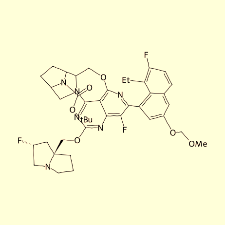 CCc1c(F)ccc2cc(OCOC)cc(-c3nc4c5c(nc(OC[C@@]67CCCN6C[C@H](F)C7)nc5c3F)N3CC5CCC(C3CO4)N5C(=O)OC(C)(C)C)c12